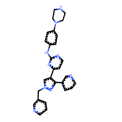 c1cncc(Cn2cc(-c3ccnc(Nc4ccc(N5CCNCC5)cc4)n3)c(-c3cccnc3)n2)c1